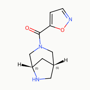 O=C(c1ccno1)N1C[C@@H]2CN[C@@H](C2)C1